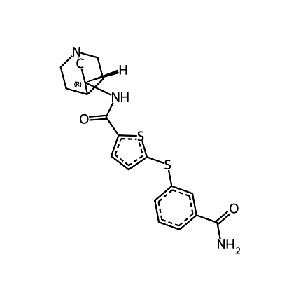 NC(=O)c1cccc(Sc2ccc(C(=O)N[C@H]3CN4CCC3CC4)s2)c1